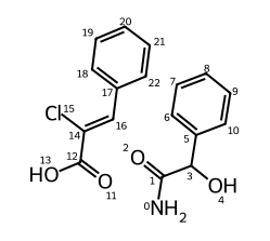 NC(=O)C(O)c1ccccc1.O=C(O)C(Cl)=Cc1ccccc1